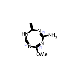 C=C1\N=C(N)/N=C(OC)\N=C/N1